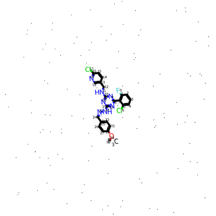 Fc1cccc(Cl)c1-c1nc(NCc2ccc(Cl)nc2)nc(N/N=C\c2ccc(OC(F)(F)F)cc2)n1